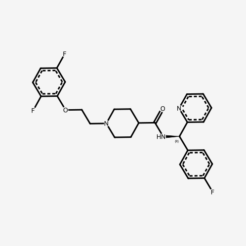 O=C(N[C@H](c1ccc(F)cc1)c1ccccn1)C1CCN(CCOc2cc(F)ccc2F)CC1